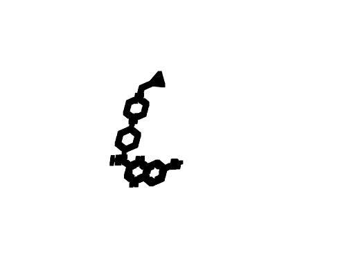 Brc1ccc2ncc(N[C@H]3CC[C@H](N4CCN(CC5CC5)CC4)CC3)nc2c1